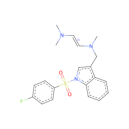 CN(C)/C=C/N(C)Cc1cn(S(=O)(=O)c2ccc(F)cc2)c2ccccc12